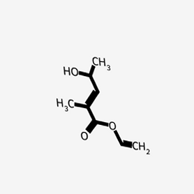 C=COC(=O)C(C)=CC(C)O